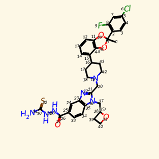 CC1(c2ccc(Cl)cc2F)Oc2cccc(C3CCN(Cc4nc5cc(C(=O)NNC(N)=S)ccc5n4C[C@@H]4CCO4)CC3)c2O1